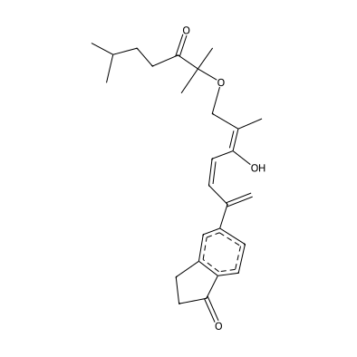 C=C(/C=C\C(O)=C(\C)COC(C)(C)C(=O)CCC(C)C)c1ccc2c(c1)CCC2=O